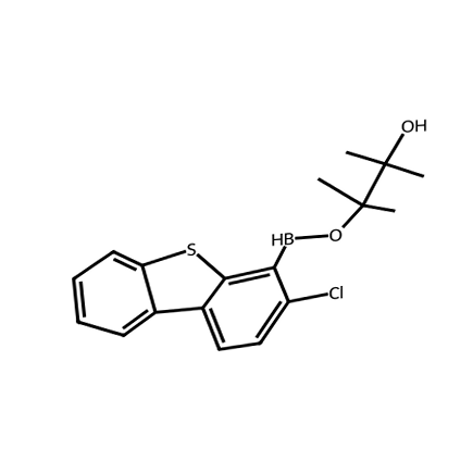 CC(C)(O)C(C)(C)OBc1c(Cl)ccc2c1sc1ccccc12